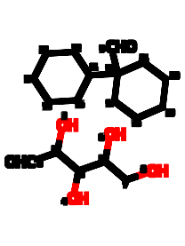 O=CC(O)C(O)C(O)CO.O=CC1(C2CCCCC2)CCCCC1